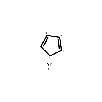 [CH]1C=CC=C1.[Yb]